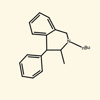 CCCCN1Cc2ccccc2C(c2ccccc2)C1C